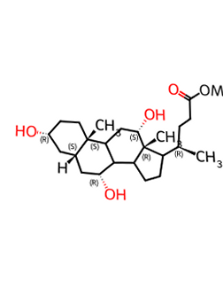 COC(=O)CC[C@@H](C)C1CCC2C3C(C[C@H](O)[C@@]21C)[C@@]1(C)CC[C@@H](O)C[C@H]1C[C@H]3O